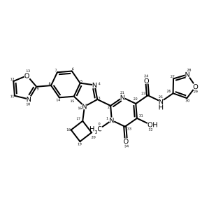 Cn1c(-c2nc3ccc(-c4ncco4)cc3n2C2CCC2)nc(C(=O)Nc2cnoc2)c(O)c1=O